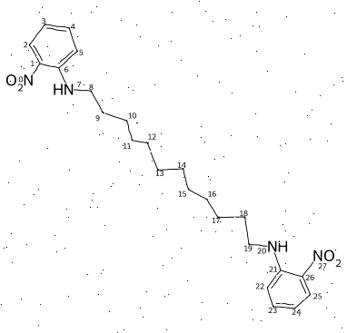 O=[N+]([O-])c1ccccc1NCCCCCCCCCCCCNc1ccccc1[N+](=O)[O-]